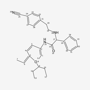 C\C=C(/C=C\C(=C/C)OC(CC)CC)NC(=O)C(NCCc1ccc(C#N)cc1)c1ccccc1